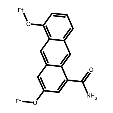 CCOc1cc(C(N)=O)c2cc3cccc(OCC)c3cc2c1